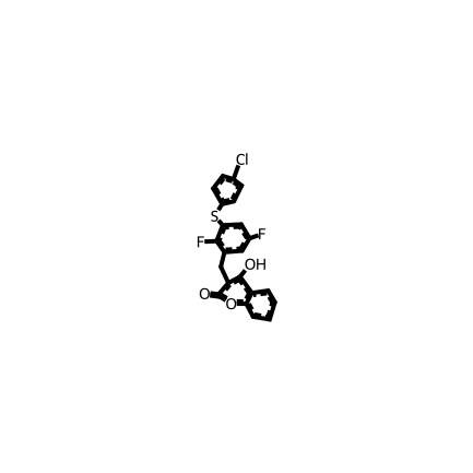 O=c1oc2ccccc2c(O)c1Cc1cc(F)cc(Sc2ccc(Cl)cc2)c1F